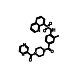 Cc1cc(C(=O)N2CCN(C(=O)c3cnccn3)CC2)ccc1NS(=O)(=O)c1cccc2cccnc12